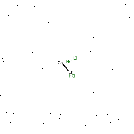 C[CH2][Ga].Cl.Cl.Cl